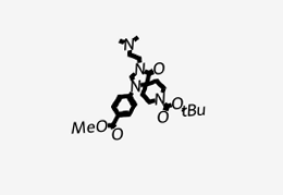 COC(=O)c1ccc(N2CN(CCN(C)C)C(=O)C23CCN(C(=O)OC(C)(C)C)CC3)cc1